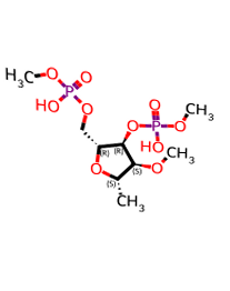 CO[C@@H]1[C@H](OP(=O)(O)OC)[C@@H](COP(=O)(O)OC)O[C@H]1C